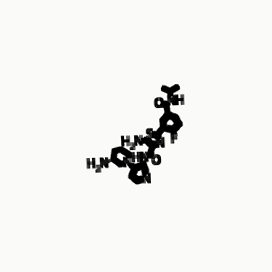 CC(C)NC(=O)c1ccc(F)c(-c2nc(C(=O)Nc3cnccc3N3CCC[C@@H](N)C3)c(N)s2)c1